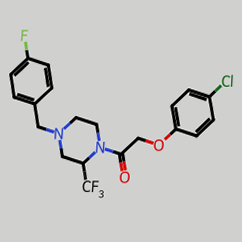 O=C(COc1ccc(Cl)cc1)N1CCN(Cc2ccc(F)cc2)CC1C(F)(F)F